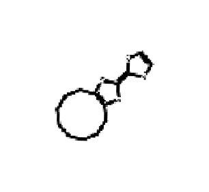 C1=CSC(=C2SC3=C(CCCCCCCC3)S2)S1